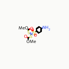 COC(=O)SN(SC(=O)OC)S(=O)(=O)c1ccc(N)cc1